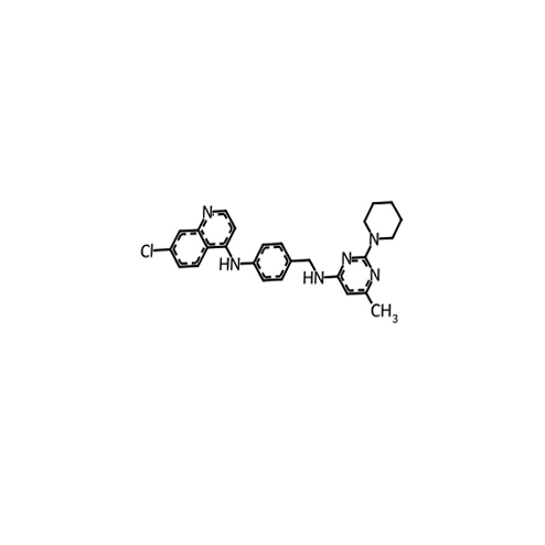 Cc1cc(NCc2ccc(Nc3ccnc4cc(Cl)ccc34)cc2)nc(N2CCCCC2)n1